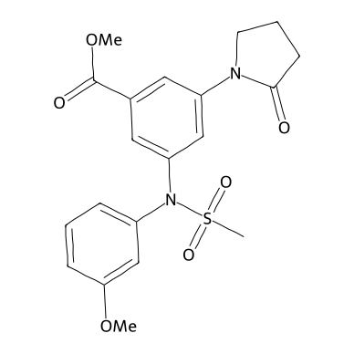 COC(=O)c1cc(N2CCCC2=O)cc(N(c2cccc(OC)c2)S(C)(=O)=O)c1